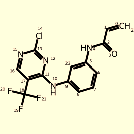 C=CC(=O)Nc1cccc(Nc2nc(Cl)ncc2C(F)(F)F)c1